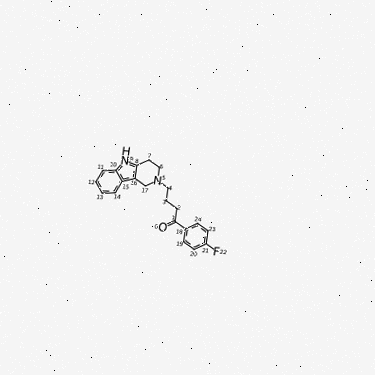 O=C(CCCN1CCc2[nH]c3ccccc3c2C1)c1ccc(F)cc1